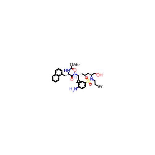 COC(=O)N[C@@H](Cc1cccc2ccccc12)C(=O)N[C@H](CCC[C@@H](CO)N(CCC(C)C)S(=O)(=O)c1ccc(N)cc1)C1CC1